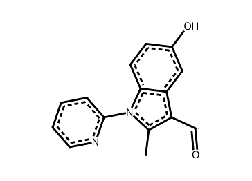 Cc1c([C]=O)c2cc(O)ccc2n1-c1ccccn1